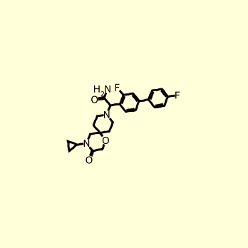 NC(=O)C(c1ccc(-c2ccc(F)cc2)cc1F)N1CCC2(CC1)CN(C1CC1)C(=O)CO2